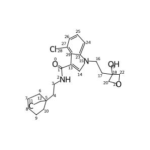 O=C(NCCC12CCC(CC1)CC2)c1cn(CCC2(O)COC2)c2cccc(Cl)c12